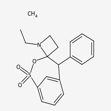 C.CCN1CCC12OS(=O)(=O)c1cccc(c1)C2c1ccccc1